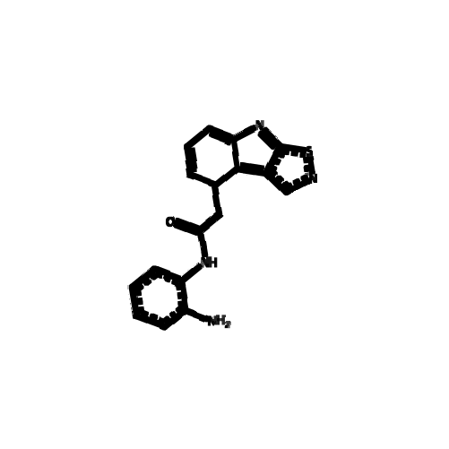 Nc1ccccc1NC(=O)CC1C=CC=C2N=c3sncc3=C21